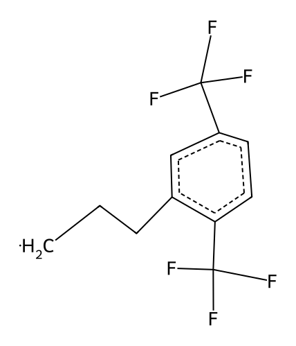 [CH2]CCc1cc(C(F)(F)F)ccc1C(F)(F)F